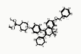 COC(OC)C1CCN(c2ccc(C3=C(C4=CCCCC4)CC(F)(F)c4cc(OCc5ccccc5)ccc43)cc2)CC1